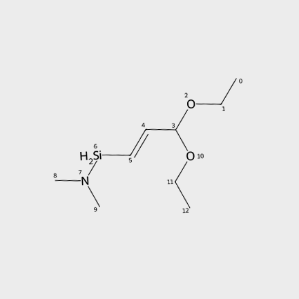 CCOC(C=C[SiH2]N(C)C)OCC